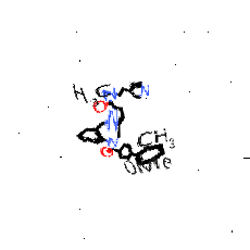 COc1cc(C(=O)N2Cc3ccc(C(=O)N(C)CCc4ccncc4)n3Cc3ccccc32)ccc1-c1ccccc1C